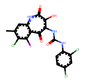 Cc1cc2[nH]c(=O)c(O)c(NC(=O)Nc3ccc(Cl)cc3Cl)c(=O)c2c(I)c1Cl